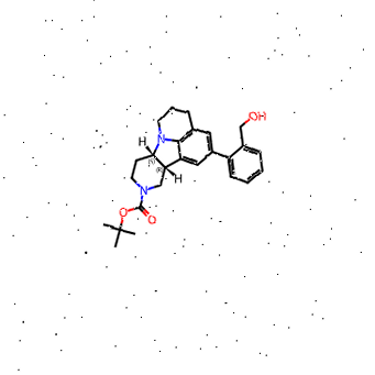 CC(C)(C)OC(=O)N1CC[C@H]2[C@@H](C1)c1cc(-c3ccccc3CO)cc3c1N2CCC3